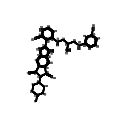 CN1CCC(N2C(=O)c3cc4nc(-c5c(NCC(O)CNc6cccc(Cl)c6)cc[nH]c5=O)[nH]c4cc3C2=O)CC1